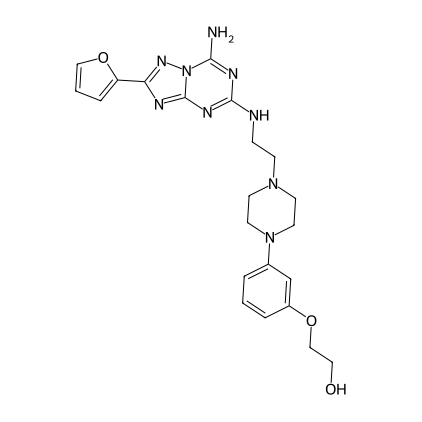 Nc1nc(NCCN2CCN(c3cccc(OCCO)c3)CC2)nc2nc(-c3ccco3)nn12